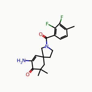 Cc1ccc(C(=O)N2CCC3(C=C(N)C(=O)C(C)(C)C3)C2)c(F)c1F